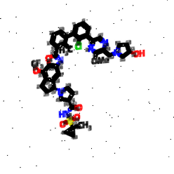 COc1nc(-c2cccc(-c3cccc(-c4nc5cc6c(c(OC(F)(F)F)c5o4)CC[C@H]6N4CC[C@@H](C(=O)NS(=O)(=O)C5(C)CC5)C4)c3C)c2Cl)cnc1CN1CC[C@@H](O)C1